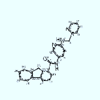 O=C(Nc1ccc(NCc2ccccn2)nc1)c1cccc2c1Cc1ccccc1-2